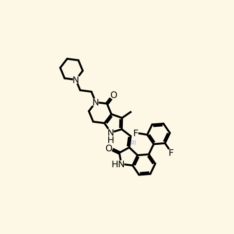 Cc1c(/C=C2\C(=O)Nc3cccc(-c4c(F)cccc4F)c32)[nH]c2c1C(=O)N(CCN1CCCCC1)CC2